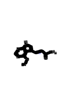 CC(C)Oc1ncnc2[nH]cc(/C=C/C(N)=O)c12